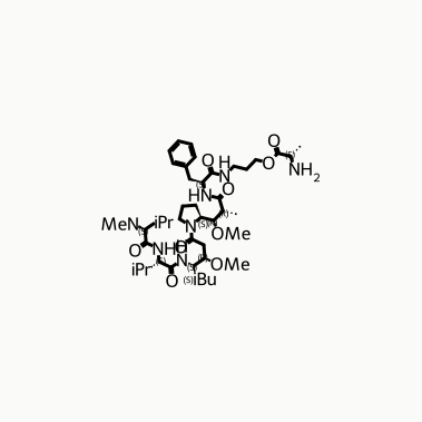 CC[C@H](C)[C@H](NC(=O)[C@@H](NC(=O)[C@@H](NC)C(C)C)C(C)C)[C@@H](CC(=O)N1CCC[C@H]1[C@H](OC)[C@@H](C)C(=O)N[C@@H](Cc1ccccc1)C(=O)NCCCOC(=O)[C@H](C)N)OC